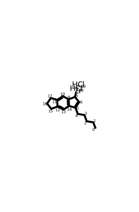 CCCCCC1=C[CH]([Zr])c2cc3c(cc21)CCC3.Cl.Cl